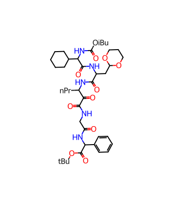 CCCC(NC(=O)C(CC1OCCCO1)NC(=O)C(NC(=O)OCC(C)C)C1CCCCC1)C(=O)C(=O)NCC(=O)NC(C(=O)OC(C)(C)C)c1ccccc1